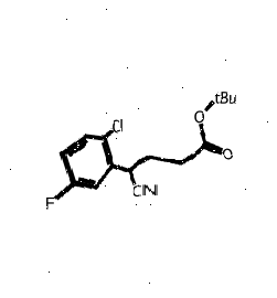 CC(C)(C)OC(=O)CCC(C#N)c1cc(F)ccc1Cl